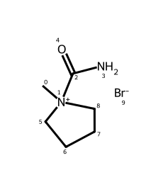 C[N+]1(C(N)=O)CCCC1.[Br-]